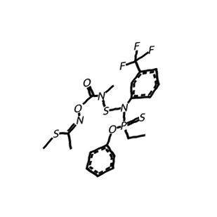 CCP(=S)(Oc1ccccc1)N(SN(C)C(=O)ON=C(C)SC)c1cccc(C(F)(F)F)c1